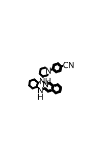 N#Cc1ccc(N2CCC[C@H](N[C@@H]3CCCC[C@H]3Nc3cc4ccccc4cn3)C2)cc1